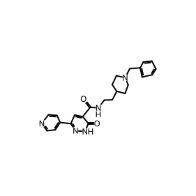 O=C(NCCC1CCN(Cc2ccccc2)CC1)c1cc(-c2ccncc2)n[nH]c1=O